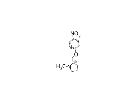 CN1CCC[C@H]1COc1ccc([N+](=O)[O-])cn1